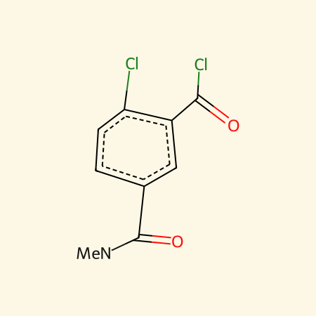 CNC(=O)c1ccc(Cl)c(C(=O)Cl)c1